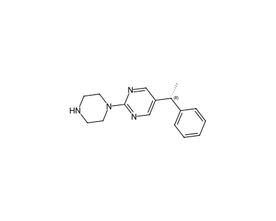 C[C@H](c1ccccc1)c1cnc(N2CCNCC2)nc1